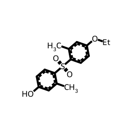 CCOc1ccc(S(=O)(=O)c2ccc(O)cc2C)c(C)c1